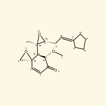 CO[C@@H]1C(=O)C=C[C@]2(CO2)[C@H]1[C@@]1(C)O[C@@H]1CC=C1CCCC1